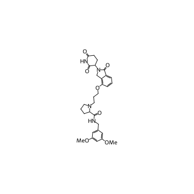 COc1cc(CNC(=O)C2CCCN2CCCOc2cccc3c2CN(C2CCC(=O)NC2=O)C3=O)cc(OC)c1